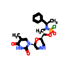 Cc1cn([C@H]2CNC[C@@H](COP(=O)(Cl)N(C)[C@H](C)c3ccccc3)O2)c(=O)[nH]c1=O